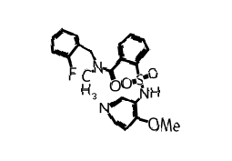 COc1ccncc1NS(=O)(=O)c1ccccc1C(=O)N(C)Cc1ccccc1F